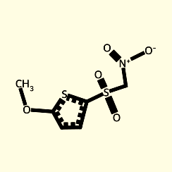 COc1ccc(S(=O)(=O)C[N+](=O)[O-])s1